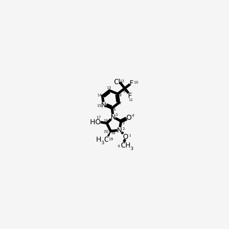 CON1C(=O)N(c2cc(C(F)(F)Cl)ccn2)C(O)[C@@H]1C